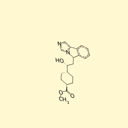 COC(=O)[C@H]1CC[C@H]([C@H](O)CC2c3ccccc3-c3cncn32)CC1